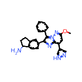 COc1cc(-c2cn[nH]c2)c2nc(-c3ccc4c(c3)CC[C@@H]4N)c(-c3ccccc3)n2n1